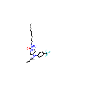 C=C/C=C(\C)N(c1ccc(C(F)(F)F)cc1)C1CCN(C(=O)NCCCCCCCCCC)CC1